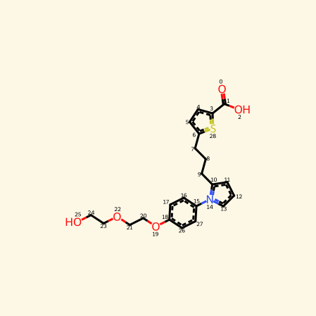 O=C(O)c1ccc(CCCc2cccn2-c2ccc(OCCOCCO)cc2)s1